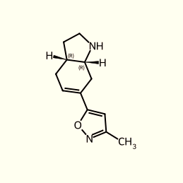 Cc1cc(C2=CC[C@@H]3CCN[C@@H]3C2)on1